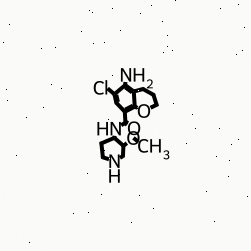 COC1CNCCC1NC(=O)c1cc(Cl)c(N)c2c1OCCC2